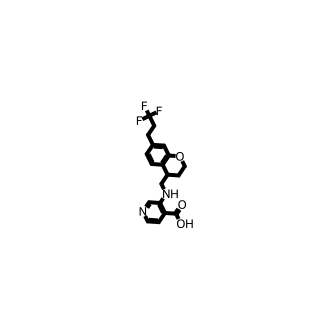 O=C(O)c1ccncc1NCC1CCOc2cc(CCC(F)(F)F)ccc21